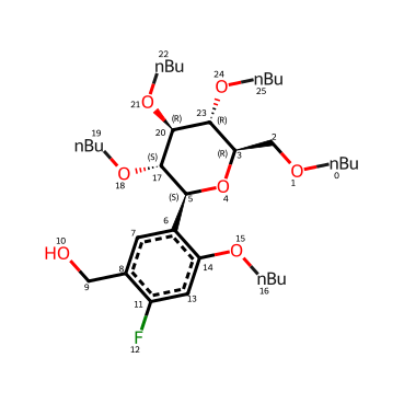 CCCCOC[C@H]1O[C@@H](c2cc(CO)c(F)cc2OCCCC)[C@H](OCCCC)[C@@H](OCCCC)[C@@H]1OCCCC